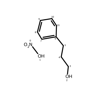 O=[N+]([O-])O.OCCCc1ccccc1